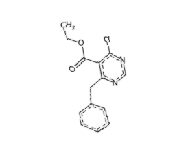 CCOC(=O)c1c(Cl)ncnc1Cc1ccccc1